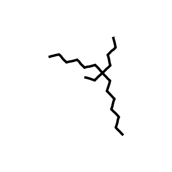 [CH2]CCCC(CC)(CCCCCC)CCCCCCC